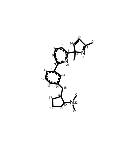 CC1=NC(C)(c2cccc(-c3cccc(CC4CCCC4N(C)C)c3)n2)C=C1